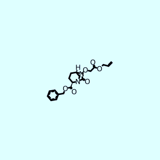 C=CCOC(=O)CON1C(=O)N2C[C@@H]1CC[C@@H]2C(=O)OCc1ccccc1